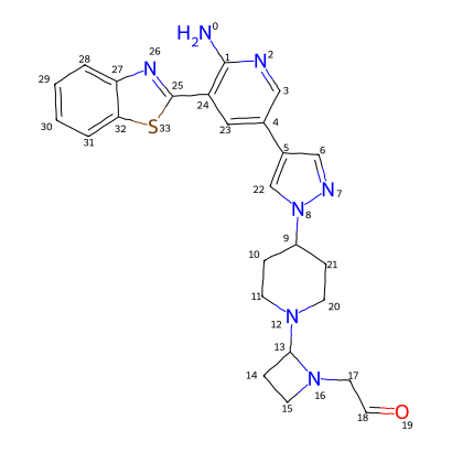 Nc1ncc(-c2cnn(C3CCN(C4CCN4CC=O)CC3)c2)cc1-c1nc2ccccc2s1